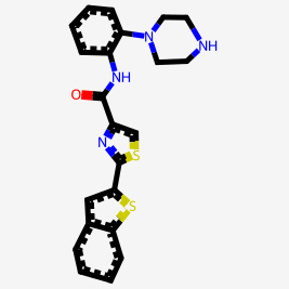 O=C(Nc1ccccc1N1CCNCC1)c1csc(-c2cc3ccccc3s2)n1